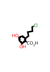 O=C(O)c1c(O)cc(O)cc1CCCCCl